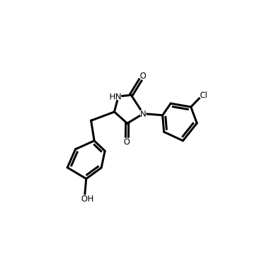 O=C1NC(Cc2ccc(O)cc2)C(=O)N1c1cccc(Cl)c1